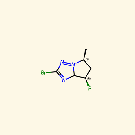 C[C@H]1C[C@@H](F)C2N=C(Br)N=[N+]21